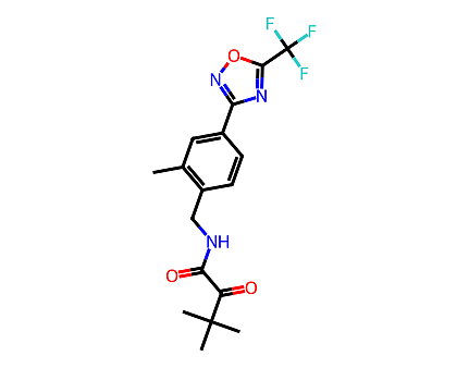 Cc1cc(-c2noc(C(F)(F)F)n2)ccc1CNC(=O)C(=O)C(C)(C)C